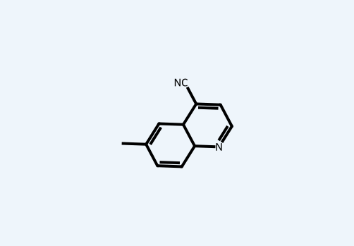 CC1=CC2C(C#N)=CC=NC2C=C1